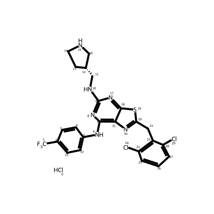 Cl.FC(F)(F)c1ccc(Nc2nc(NC[C@@H]3CCNC3)nc3sc(Cc4c(Cl)cccc4Cl)nc23)cc1